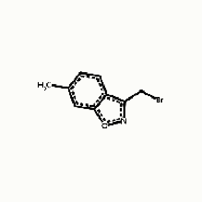 Cc1ccc2c(CBr)noc2c1